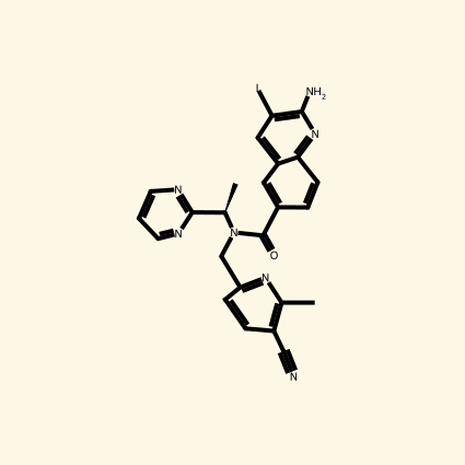 Cc1nc(CN(C(=O)c2ccc3nc(N)c(I)cc3c2)[C@H](C)c2ncccn2)ccc1C#N